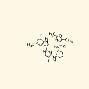 Cc1cc(F)c2[nH]cc(-c3ncc(F)c(N[C@@H]4CCC[C@@H](NC(=O)c5nc(C)oc5C)C4)n3)c2c1